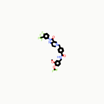 COc1cc(CNC(=O)c2ccc(CN3C=C4C(=O)N(c5ccc(F)c(C(F)(F)F)c5)N=C4CC3)cc2)ccc1OC(F)F